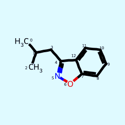 CC(C)Cc1noc2ccccc12